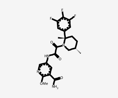 COc1ncc(NC(=O)C(=O)N2C[C@@H](C)CC[C@@]2(C)c2cc(F)c(F)c(F)c2)cc1C(N)=O